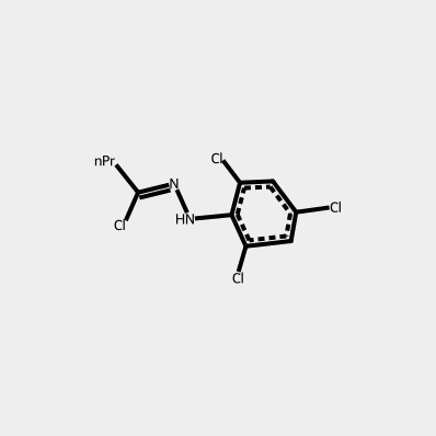 CCCC(Cl)=NNc1c(Cl)cc(Cl)cc1Cl